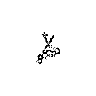 CCCCN(CCC[N+](C)(C)C)C(=O)CN1C[C@H](c2ccc3c(c2)CCO3)[C@@H](C(=O)O)[C@@H]1CCC1CCCCO1